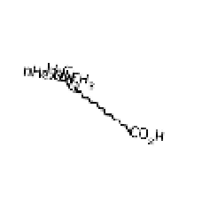 CCCCCCOCC(COCCCCCCCCC=CCCCCCC(=O)O)N(C)C